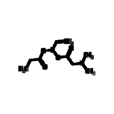 C=CB(OC(=O)CC)OC(=O)CN(C)C